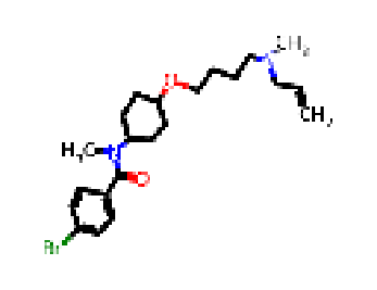 C=CCN(C)CCCCOC1CCC(N(C)C(=O)c2ccc(Br)cc2)CC1